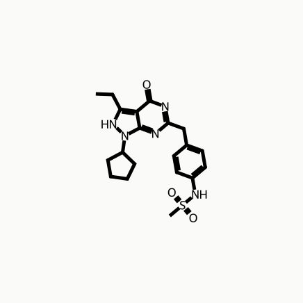 CCc1[nH]n(C2CCCC2)c2nc(Cc3ccc(NS(C)(=O)=O)cc3)nc(=O)c1-2